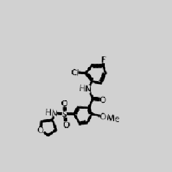 COc1ccc(S(=O)(=O)NC2CCOC2)cc1C(=O)Nc1ccc(F)cc1Cl